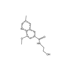 COc1cc(C(=O)NCCO)cc2cc(C)cnc12